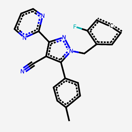 Cc1ccc(-c2c(C#N)c(-c3ncccn3)nn2Cc2ccccc2F)cc1